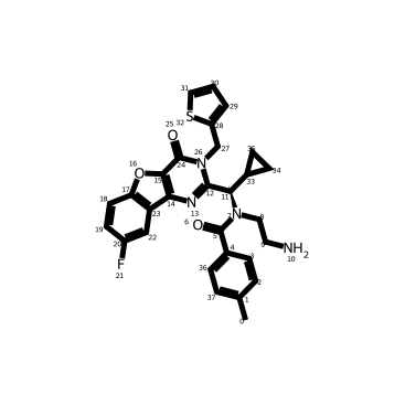 Cc1ccc(C(=O)N(CCN)[C@@H](c2nc3c(oc4ccc(F)cc43)c(=O)n2Cc2cccs2)C2CC2)cc1